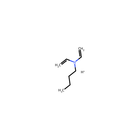 C=CN(C=C)CCCC.[H+]